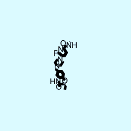 CC[C@@H]1Oc2ccc(CN3CCN(c4ccc(C(=O)NC)nc4F)CC3)cc2NC1=O